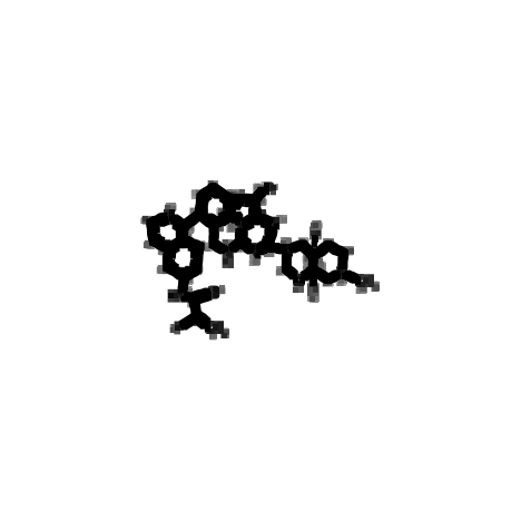 C=C(F)C(=O)Nc1ccc2c(-c3ccccc3CNc3nc(N4CO[C@H]5CN(C)CC[C@@H]5C4)nc4c(C(C)C)cnn34)nccc2c1